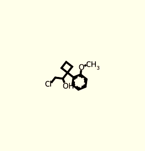 COc1ccccc1C1(C(O)CCl)CCC1